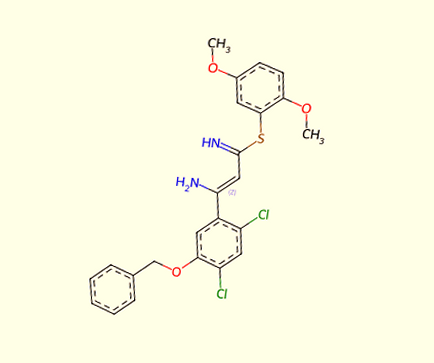 COc1ccc(OC)c(SC(=N)/C=C(\N)c2cc(OCc3ccccc3)c(Cl)cc2Cl)c1